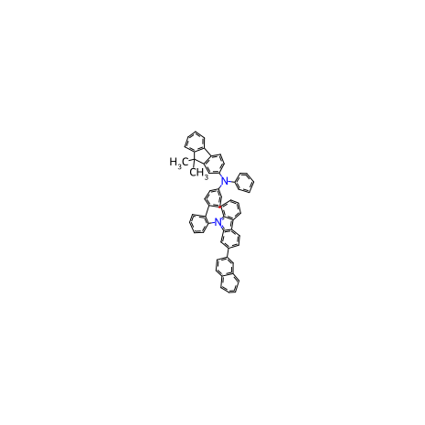 CC1(C)c2ccccc2-c2ccc(N(c3ccccc3)c3ccc(-c4ccccc4-n4c5ccccc5c5ccc(-c6ccc7ccccc7c6)cc54)cc3)cc21